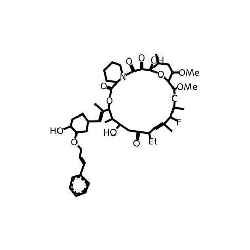 CCC1/C=C(\C)C(F)C(C)CC(OC)C2OC(O)(C(=O)C(=O)N3CCCCC3C(=O)OC(C(C)=CC3CCC(O)C(OCC=Cc4ccccc4)C3)C(C)C(O)CC1=O)C(C)CC2OC